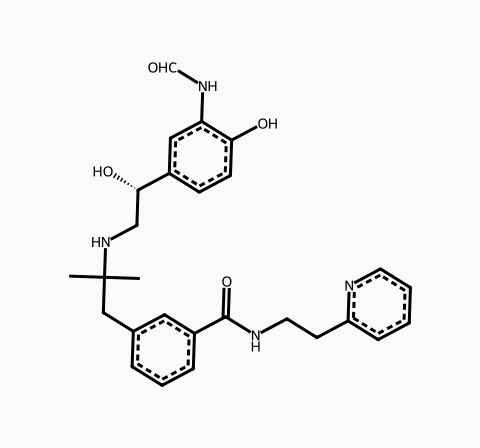 CC(C)(Cc1cccc(C(=O)NCCc2ccccn2)c1)NC[C@H](O)c1ccc(O)c(NC=O)c1